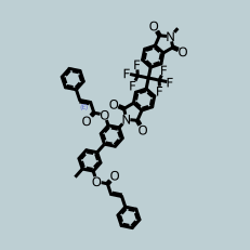 Cc1ccc(-c2ccc(N3C(=O)c4ccc(C(c5ccc6c(c5)C(=O)N(C)C6=O)(C(F)(F)F)C(F)(F)F)cc4C3=O)c(OC(=O)/C=C/c3ccccc3)c2)cc1OC(=O)C=Cc1ccccc1